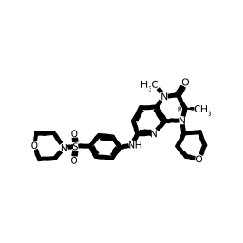 C[C@@H]1C(=O)N(C)c2ccc(Nc3ccc(S(=O)(=O)N4CCOCC4)cc3)nc2N1C1CCOCC1